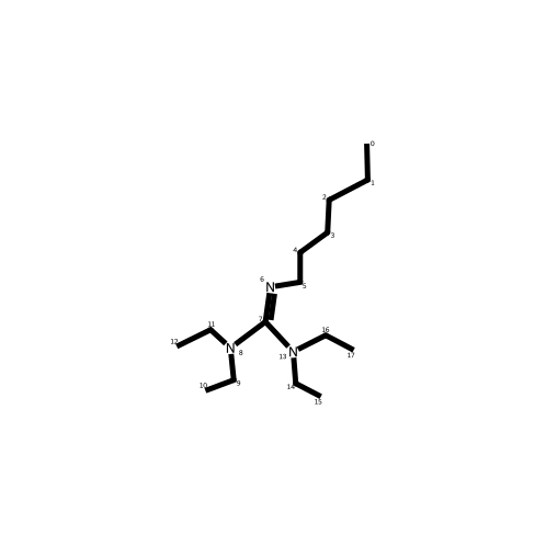 CCCCCCN=C(N(CC)CC)N(CC)CC